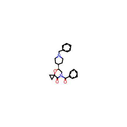 O=C(c1ccccc1)N1C[C@H](C2CCN(Cc3ccccc3)CC2)OC2(CC2)C1=O